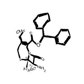 CO[C@@]1(N)C(=O)N2C(C(=O)OC(c3ccccc3)c3ccccc3)=C(COC(C)=O)CS[C@H]21